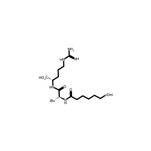 CCCCCCCCCCCCCCCC(=O)N[C@H](C(=O)N[C@@H](CCCNC(=N)N)C(=O)O)[C@@H](C)CC